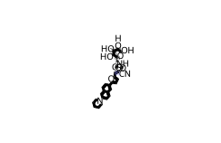 N#C/C(=C\c1ccc(-c2ccc3cc(N4CCCCC4)ccc3c2)o1)S(=O)(=O)NC[C@H]1OC(O)[C@H](O)[C@@H](O)[C@@H]1O